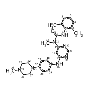 Cc1cccc(C)c1NC(=O)N(C)c1cc(Nc2ccc(N3CCN(C)CC3)cc2)ncn1